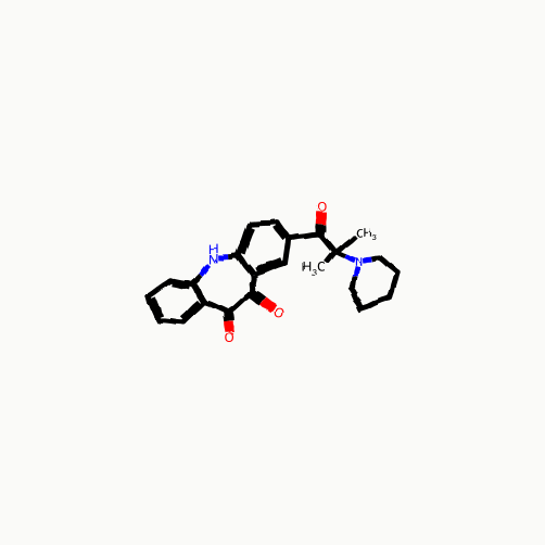 CC(C)(C(=O)c1ccc2[nH]c3ccccc3c(=O)c(=O)c2c1)N1CCCCC1